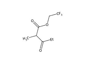 CCC(=O)C(C)C(=O)OCC(F)(F)F